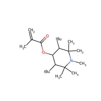 C=C(C)C(=O)OC1C(C(C)(C)C)C(C)(C)N(C)C(C)(C)C1C(C)(C)C